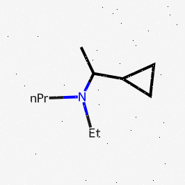 CCCN(CC)C(C)C1CC1